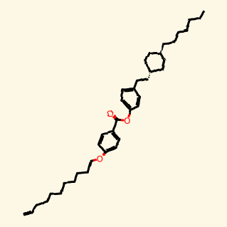 C=CCCCCCCCCCOc1ccc(C(=O)Oc2ccc(CC[C@H]3CC[C@H](CCCCCCC)CC3)cc2)cc1